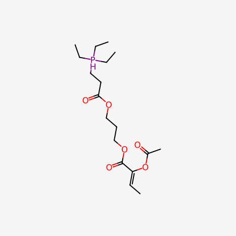 CC=C(OC(C)=O)C(=O)OCCCOC(=O)CC[PH](CC)(CC)CC